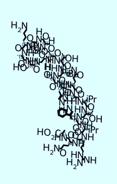 CC[C@H](C)[C@H](NC(=O)[C@@H](NC(=O)[C@H](CO)NC(=O)CNC(=O)[C@H](CO)NC(=O)[C@H](C)NC(=O)[C@H](CCCCN)NC(=O)[C@H](CS)NC(=O)[C@@H](N)CO)[C@@H](C)O)C(=O)N[C@@H](CO)C(=O)N[C@@H](Cc1c[nH]cn1)C(=O)N[C@@H](CCC(N)=O)C(=O)N[C@@H](C)C(=O)N[C@H](C(=O)N[C@H](C(=O)N[C@@H](Cc1c[nH]c2ccccc12)C(=O)N[C@H](C(=O)N[C@@H](CCCNC(=N)N)C(=O)N[C@@H](CCC(N)=O)C(=O)N[C@@H](C)C(=O)O)C(C)C)[C@@H](C)O)C(C)C